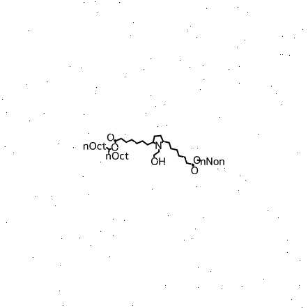 CCCCCCCCCOC(=O)CCCCCCC1CCC(CCCCCCC(=O)OC(CCCCCCCC)CCCCCCCC)N1CCO